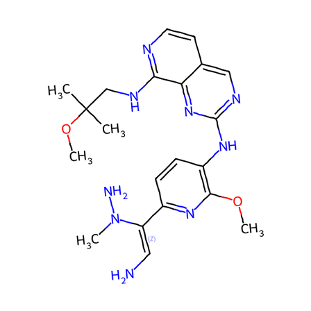 COc1nc(/C(=C/N)N(C)N)ccc1Nc1ncc2ccnc(NCC(C)(C)OC)c2n1